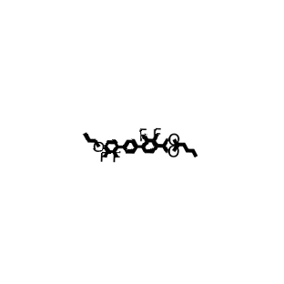 C=CCOc1ccc(-c2ccc(-c3ccc(C4COC(CCCC)OC4)c(F)c3F)cc2)c(F)c1F